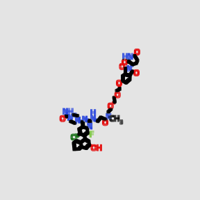 CN(CCOCCOCCOc1ccc2c(c1)C(=O)N(C1CCC(=O)NC1=O)C2=O)C(=O)CCNc1nc(N2CCN(C(N)=O)CC2)c2cc(Cl)c(-c3cc(O)cc4ccccc34)c(F)c2n1